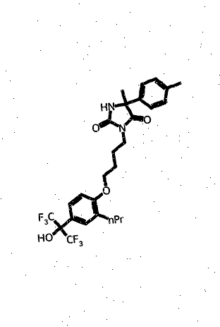 CCCc1cc(C(O)(C(F)(F)F)C(F)(F)F)ccc1OCCCCN1C(=O)NC(C)(c2ccc(C)cc2)C1=O